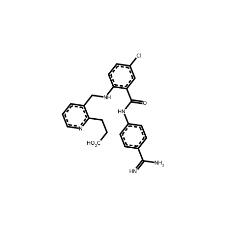 N=C(N)c1ccc(NC(=O)c2cc(Cl)ccc2NCc2cccnc2CCC(=O)O)cc1